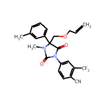 C=CCOCC1(c2cccc(C)c2)C(=O)N(c2ccc(C#N)c(C(F)(F)F)c2)C(=O)N1C